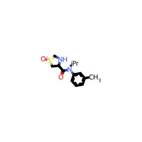 Cc1cccc(N(C(=O)C2C[S+]([O-])CN2)C(C)C)c1